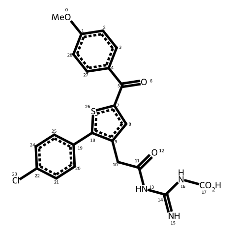 COc1ccc(C(=O)c2cc(CC(=O)NC(=N)NC(=O)O)c(-c3ccc(Cl)cc3)s2)cc1